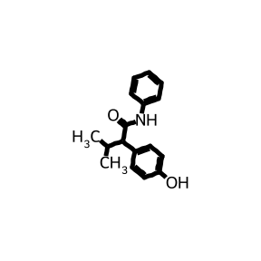 CC(C)C(C(=O)Nc1ccccc1)c1ccc(O)cc1